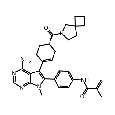 C=C(C)C(=O)Nc1ccc(-c2c(C3=CC[C@H](C(=O)N4CCC5(CCC5)C4)CC3)c3c(N)ncnc3n2C)cc1